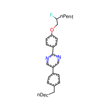 CCCCCCCCCCCc1ccc(-c2cnc(-c3ccc(OCC(F)CCCCC)cc3)nc2)cc1